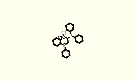 [Cl][Fe]([Cl])[CH](CP(c1ccccc1)c1ccccc1)P(c1ccccc1)c1ccccc1